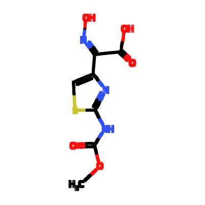 COC(=O)Nc1nc(C(=NO)C(=O)O)cs1